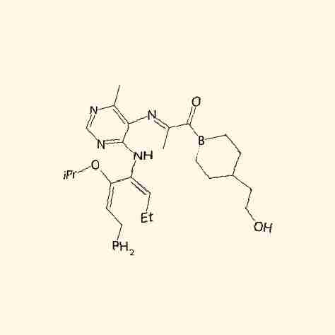 CC/C=C(Nc1ncnc(C)c1/N=C(\C)C(=O)B1CCC(CCO)CC1)\C(=C/CP)OC(C)C